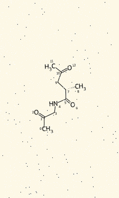 CC(=O)CNC(=O)[C@@H](C)CC(C)=O